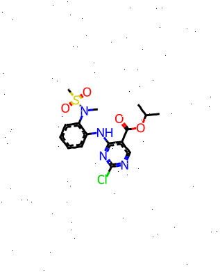 CC(C)OC(=O)c1cnc(Cl)nc1Nc1ccccc1N(C)S(C)(=O)=O